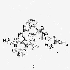 CCN1C(=O)C(F)(F)CN(C2CCCC2)c2nc(Nc3ccc(C(=O)NCCCN(C)C)cc3OC)ncc21